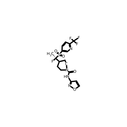 C[C@@](F)(C1CCN(C(=O)Nc2ccon2)CC1)S(=O)(=O)c1ccc(C(F)(F)F)nc1